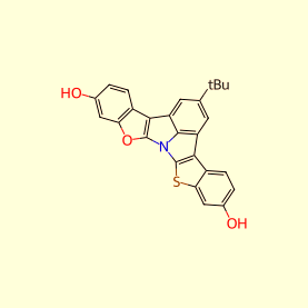 CC(C)(C)c1cc2c3c4ccc(O)cc4oc3n3c4sc5cc(O)ccc5c4c(c1)c23